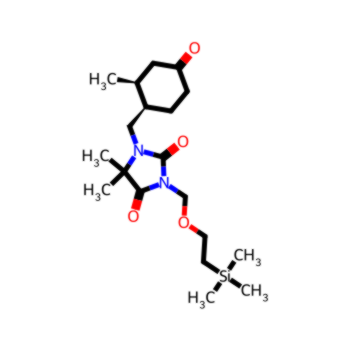 C[C@H]1CC(=O)CC[C@H]1CN1C(=O)N(COCC[Si](C)(C)C)C(=O)C1(C)C